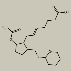 CC(=O)OC1CCC(COC2CCCCO2)C1CC=CCCCC(=O)O